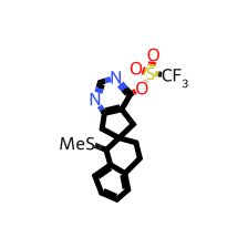 CSC1c2ccccc2CCC12Cc1ncnc(OS(=O)(=O)C(F)(F)F)c1C2